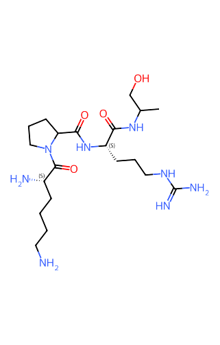 CC(CO)NC(=O)[C@H](CCCNC(=N)N)NC(=O)C1CCCN1C(=O)[C@@H](N)CCCCN